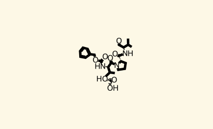 CC(C)[C@H](NC(=O)OCc1ccccc1)C(=O)N1CCC[C@H]1C(=O)N[C@H](C=O)C(C)C.O=S(O)O